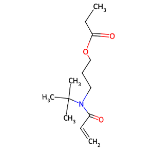 C=CC(=O)N(CCCOC(=O)CC)C(C)(C)C